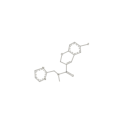 CN(Cc1ncccn1)C(=O)C1=Cc2cc(F)ccc2OC1